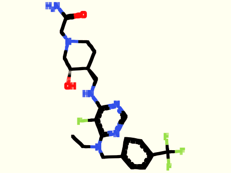 CCN(Cc1ccc(C(F)(F)F)cc1)c1ncnc(NC[C@@H]2CCN(CC(N)=O)C[C@H]2O)c1F